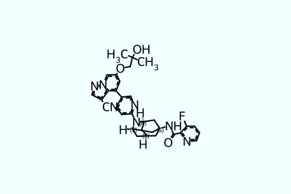 CC(C)(O)COc1cc(-c2ccc(N3[C@@H]4C[C@@H]5C[C@H]3C[C@@](NC(=O)c3ncccc3F)(C5)C4)nc2)c2c(C#N)cnn2c1